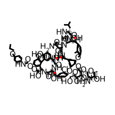 CCCOc1ccc(NC(=O)Oc2cc(O)c3c(c2)[C@@H](C(=O)O)NC(=O)[C@H]2NC(=O)[C@H](NC(=O)[C@@H]4NC(=O)[C@H](CC(N)=O)NC(=O)[C@H](NC(=O)[C@@H](CC(C)C)NC)[C@H](O)c5ccc(c(C)c5)Oc5cc4cc(c5O[C@@H]4O[C@H](CO)[C@@H](O)[C@H](O)[C@H]4O[C@H]4C[C@](C)(N)[C@H](O)[C@H](C)O4)Oc4ccc(cc4Cl)[C@H]2O)c2ccc(O)c-3c2)cc1